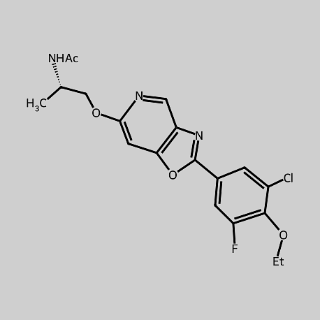 CCOc1c(F)cc(-c2nc3cnc(OC[C@H](C)NC(C)=O)cc3o2)cc1Cl